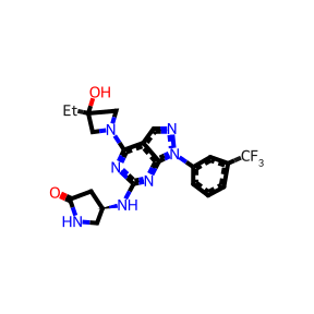 CCC1(O)CN(c2nc(N[C@H]3CNC(=O)C3)nc3c2cnn3-c2cccc(C(F)(F)F)c2)C1